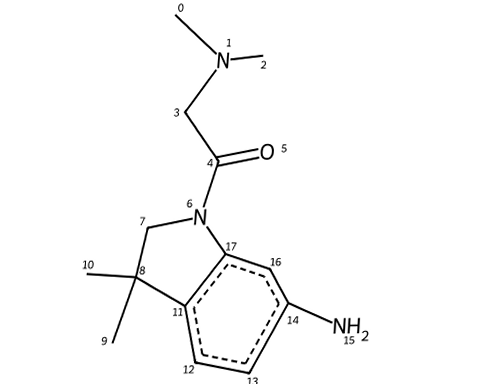 CN(C)CC(=O)N1CC(C)(C)c2ccc(N)cc21